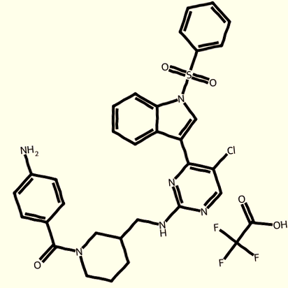 Nc1ccc(C(=O)N2CCCC(CNc3ncc(Cl)c(-c4cn(S(=O)(=O)c5ccccc5)c5ccccc45)n3)C2)cc1.O=C(O)C(F)(F)F